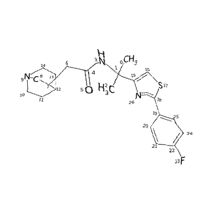 CC(C)(NC(=O)CC1CN2CCC1CC2)c1csc(-c2ccc(F)cc2)n1